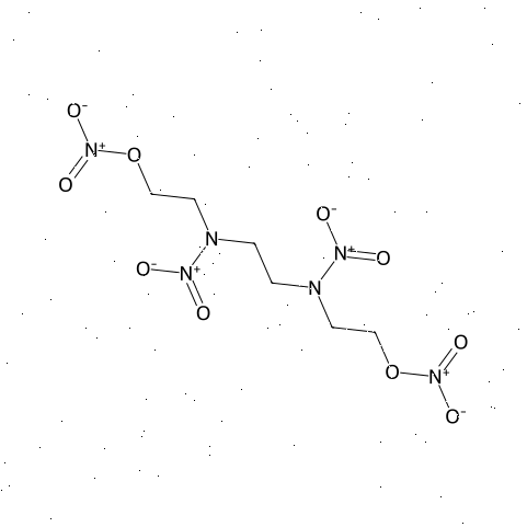 O=[N+]([O-])OCCN(CCN(CCO[N+](=O)[O-])[N+](=O)[O-])[N+](=O)[O-]